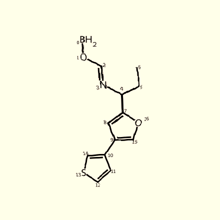 BOC=NC(CC)c1cc(-c2ccsc2)co1